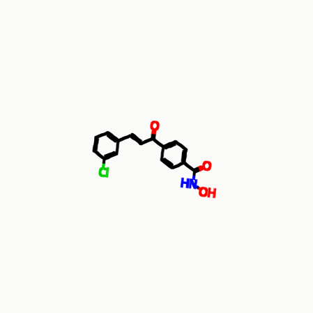 O=C(C=Cc1cccc(Cl)c1)c1ccc(C(=O)NO)cc1